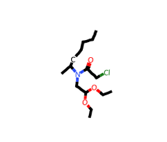 CCCCCC(C)N(CC(OCC)OCC)C(=O)CCl